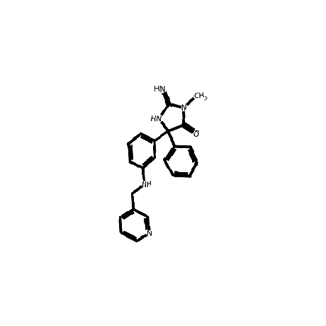 CN1C(=N)NC(c2ccccc2)(c2cccc(NCc3cccnc3)c2)C1=O